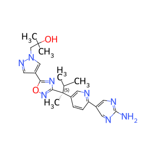 CC(C)[C@@](C)(c1ccc(-c2cnc(N)nc2)nc1)c1noc(-c2cnn(CC(C)(C)O)c2)n1